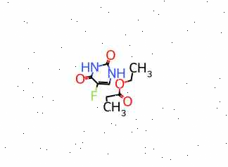 CCOC(=O)CC.O=c1[nH]cc(F)c(=O)[nH]1